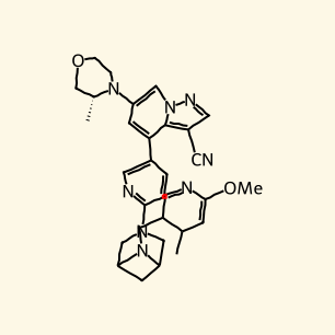 COC1=CC(C)C(CN2C3CC2CN(c2ccc(-c4cc(N5CCOC[C@H]5C)cn5ncc(C#N)c45)cn2)C3)C=N1